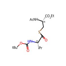 CCOC(=O)[C@H](CSC(=O)[C@@H](NC(=O)OC(C)(C)C)C(C)C)NC(C)=O